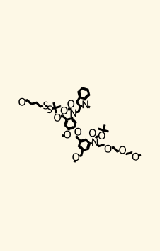 COCCOCCOCCN(C(=O)OC(C)(C)C)c1cc(COC)cc(COc2cc(N(CC3Cc4ccccc4N3C)C(=O)OCC(C)(C)SSCCCC=O)c(C=O)cc2OC)c1